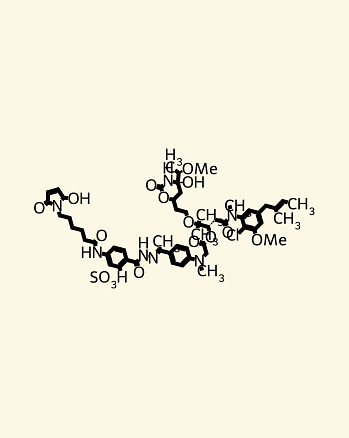 C/C=C(\C)Cc1cc(OC)c(Cl)c(N(C)C(=O)C[C@H](OC(=O)CN(C)c2ccc(/C(C)=N/NC(=O)c3ccc(NC(=O)CCCCCN4C(=O)C=CC4O)cc3S(=O)(=O)O)cc2)C(C)(C)OCCC2C[C@](O)([C@@H](C)OC)NC(=O)O2)c1